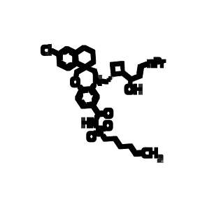 C=CCCCCS(=O)(=O)NC(=O)c1ccc2c(c1)N(C[C@@H]1CC[C@H]1[C@H](O)/C=C/CCC)C[C@@]1(CCCc3cc(Cl)ccc31)CO2